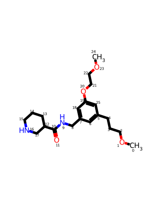 COCCCc1cc(CNC(=O)C2CCCNC2)cc(OCCOC)c1